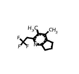 Cc1c(CC(F)(F)F)nc2c(c1C)CCC2